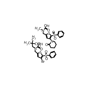 CC(C)(C)CN(Cc1cc(Br)c(S(=O)(=O)c2ccccc2)s1)C(=O)O.CN(Cc1cc(N2CCCCC2=O)c(S(=O)(=O)c2ccccc2)s1)C(=O)O